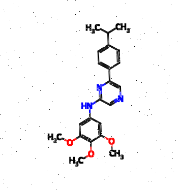 COc1cc(Nc2cncc(-c3ccc(C(C)C)cc3)n2)cc(OC)c1OC